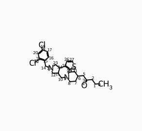 CCCC(=O)CC1CCN(CC2CN(Cc3ccc(Cl)cc3Cl)CC2c2ccsc2)CC1